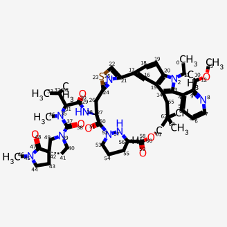 CCn1c(-c2cccnc2[C@H](C)OC)c2c3cc(ccc31)-c1csc(n1)C[C@H](NC(=O)C(C(C)C)N(C)C(=O)N1CC[C@@]3(CCN(C)C3=O)C1)C(=O)N1CCC[C@H](N1)C(=O)OCC(C)(C)C2